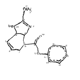 NC1=NC2C(C=CCN2C(=O)Oc2ccccc2)N1